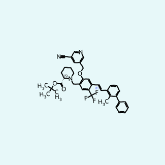 Cc1c(/C=C/c2cc(OCc3cncc(C#N)c3)c(CN3CCCC[C@H]3C(=O)OC(C)(C)C)cc2C(F)(F)F)cccc1-c1ccccc1